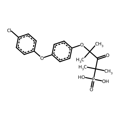 CC(C)(Oc1ccc(Oc2ccc(Cl)cc2)cc1)C(=O)C(C)(C)P(=O)(O)O